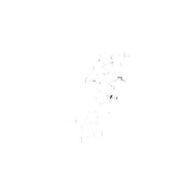 Cl.Cl.[CH2]=[Zr]([CH2]C)([C]1=CC(C(C)(C)C)=CC1C)([C]1=C(C(C)(C)C)c2cc3c(cc2C1(C)C)Cc1cc2c(cc1-3)C(C(C)(C)C)=CC2(C)C)[c]1ccccc1